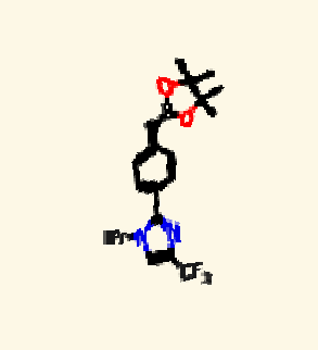 CC(C)n1cc(C(F)(F)F)nc1-c1ccc(CB2OC(C)(C)C(C)(C)O2)cc1